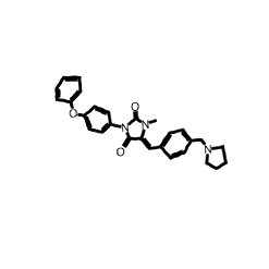 CN1C(=O)N(c2ccc(Oc3ccccc3)cc2)C(=O)/C1=C/c1ccc(CN2CCCC2)cc1